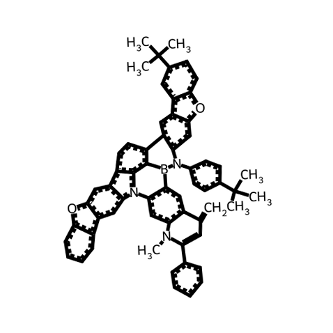 C=C1C=C(c2ccccc2)N(C)c2cc3c(cc21)B1c2c(ccc4c5cc6oc7ccccc7c6cc5n-3c24)-c2cc3c(cc2N1c1ccc(C(C)(C)C)cc1)oc1ccc(C(C)(C)C)cc13